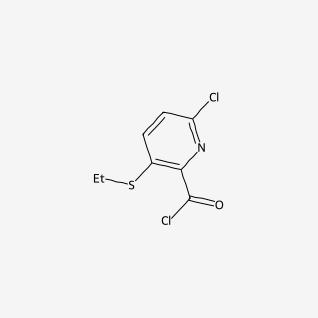 CCSc1ccc(Cl)nc1C(=O)Cl